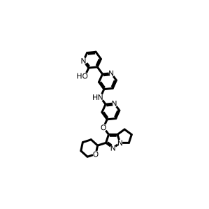 Oc1ncccc1-c1cc(Nc2cc(Oc3c(C4CCCCO4)nn4c3CCC4)ccn2)ccn1